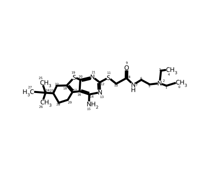 CCN(CC)CCNC(=O)CSc1nc(N)c2c3c(sc2n1)CC(C(C)(C)C)CC3